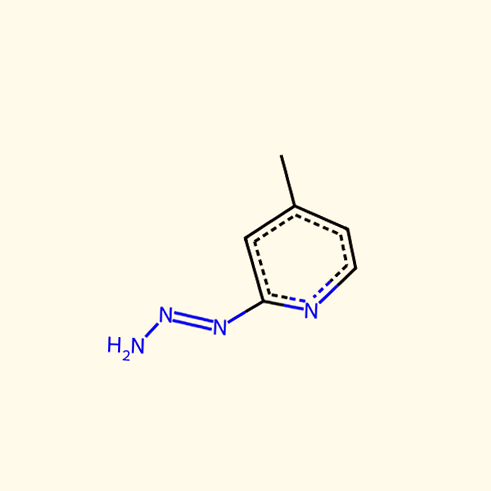 Cc1ccnc(N=NN)c1